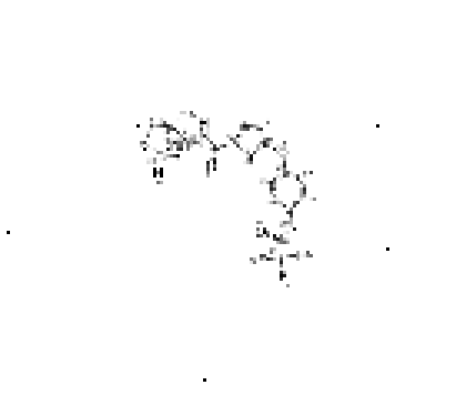 O=C(N[C@@H]1C[C@H]2CC[C@@H]1N2)c1ccc(Oc2ccc(NC(=O)C(F)(F)F)cc2)s1